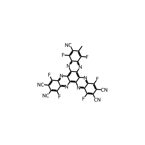 Cc1c(C#N)c(F)c2nc3c(nc2c1F)c1nc2c(F)c(C#N)c(C#N)c(F)c2nc1c1nc2c(F)c(C#N)c(C#N)c(F)c2nc31